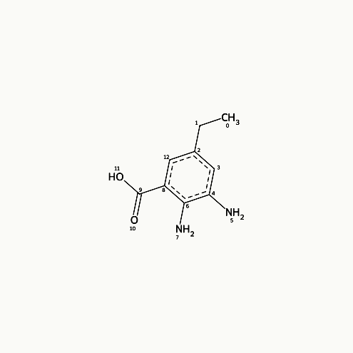 CCc1cc(N)c(N)c(C(=O)O)c1